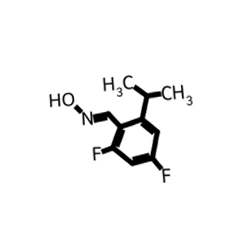 CC(C)c1cc(F)cc(F)c1C=NO